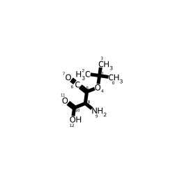 CC(C)(C)OC(=C=O)C(N)C(=O)O